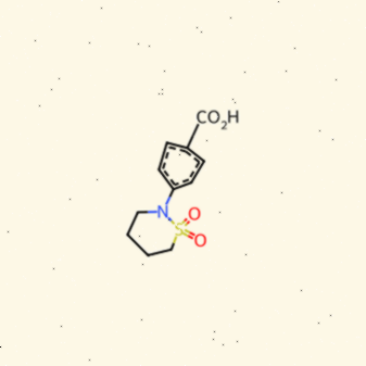 O=C(O)c1ccc(N2CCCCS2(=O)=O)cc1